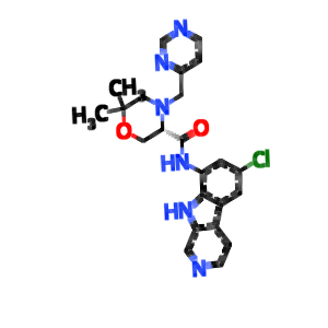 CC1(C)CN(Cc2ccncn2)[C@H](C(=O)Nc2cc(Cl)cc3c2[nH]c2cnccc23)CO1